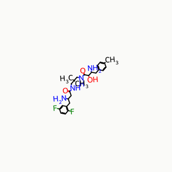 Cc1ccc(CC(N)C(O)C(=O)NCC(C)(C)CNC(=O)CC(N)Cc2cc(F)ccc2F)cc1